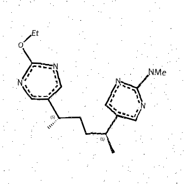 CCOc1ncc([C@@H](C)CC[C@H](C)c2cnc(NC)nc2)cn1